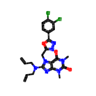 C=CCN(CC=C)c1nc2c(c(=O)n(C)c(=O)n2C)n1Cc1nnc(-c2ccc(Cl)c(Cl)c2)o1